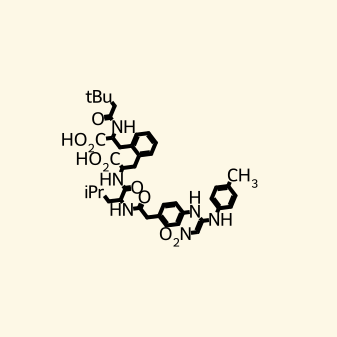 Cc1ccc(NC(=C[N+](=O)[O-])Nc2ccc(CC(=O)NC(CC(C)C)C(=O)NC(Cc3ccccc3CC(NC(=O)CC(C)(C)C)C(=O)O)C(=O)O)cc2)cc1